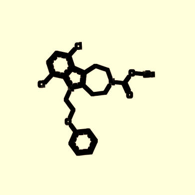 CC(C)(C)OC(=O)N1CCc2c(n(CCOc3ccccc3)c3c(Cl)ccc(Cl)c23)CC1